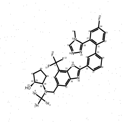 [2H]C([2H])([2H])N(Cc1cc(C(F)(F)F)c2oc(-c3cccc(-c4ccc(F)cc4-c4nncn4C)c3)nc2c1)[C@@H]1CCC[C@@H]1O